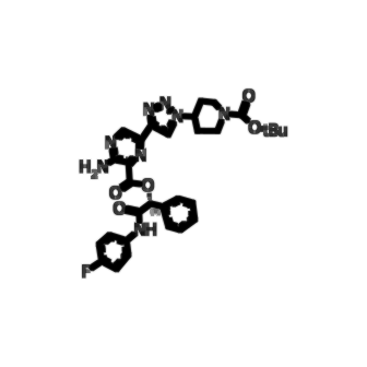 CC(C)(C)OC(=O)N1CCC(n2cc(-c3cnc(N)c(C(=O)O[C@@H](C(=O)Nc4ccc(F)cc4)c4ccccc4)n3)nn2)CC1